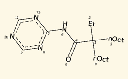 CCCCCCCCC(CC)(CCCCCCCC)C(=O)Nc1ncncn1